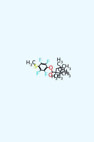 CSc1c(F)c(F)c(OC(=O)C(C)(CC(C)(C)C)C(C)(C)C)c(F)c1F